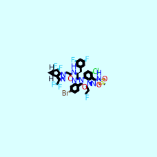 CS(=O)(=O)Nc1nn(CCCF)c2c(-n3c([C@H](Cc4cc(F)cc(F)c4)NC(=O)Cn4nc(C(F)F)c5c4C(F)(F)[C@@H]4C[C@H]54)nc4cc(Br)ccc4c3=O)ccc(Cl)c12